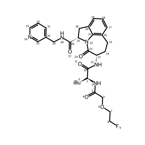 CC[C@H](C)[C@H](NC(=O)COCCF)C(=O)N[C@H]1CCc2cccc3c2N(C1=O)[C@H](C(=O)NCc1cccnc1)C3